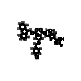 CCN(Cc1ccc(C(=N)N)s1)C(=O)[C@@H]1C[C@@H](OCc2ccc(Cl)cc2)CN1C(=O)OCC1c2ccccc2-c2ccccc21